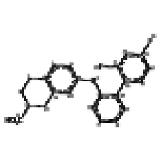 O=C(O)C1CCc2ccc(Oc3ccccc3-c3ccc(F)cc3F)cc2C1